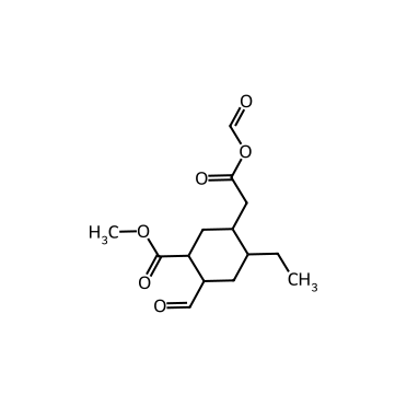 CCC1CC(C=O)C(C(=O)OC)CC1CC(=O)OC=O